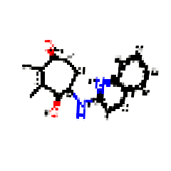 CC1=C(C)C(=O)C(Nc2ccc3ccccc3n2)CCC1=O